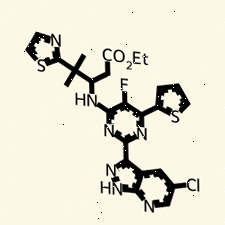 CCOC(=O)CC(Nc1nc(-c2n[nH]c3ncc(Cl)cc23)nc(-c2cccs2)c1F)C(C)(C)c1nccs1